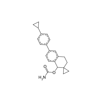 NC(=O)OC1c2ccc(-c3ccc(C4CC4)cc3)cc2CCC12CC2